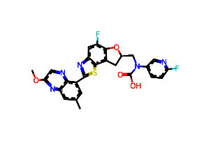 COc1cnc2c(-c3nc4cc(F)c5c(c4s3)C[C@H](CN(C(=O)O)c3ccc(F)nc3)O5)cc(C)cc2n1